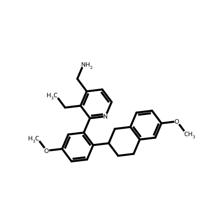 CCc1c(CN)ccnc1-c1cc(OC)ccc1C1CCc2cc(OC)ccc2C1